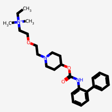 CC[N+](C)(C)CCOCCN1CCC(OC(=O)Nc2ccccc2-c2ccccc2)CC1